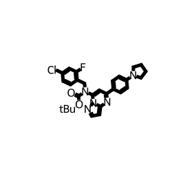 CC(C)(C)OC(=O)N(Cc1ccc(Cl)cc1F)c1cc(-c2ccc(N3CCCC3)cc2)nc2ccnn12